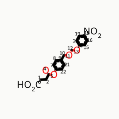 O=C(O)CCC(=O)Oc1ccc(COCOc2ccc([N+](=O)[O-])cc2)cc1